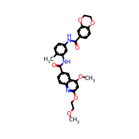 COCCOc1cc(OC)c2cc(C(=O)Nc3cc(NC(=O)c4ccc5c(c4)OCCO5)ccc3C)ccc2n1